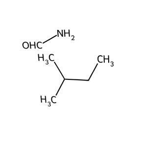 CCC(C)C.NC=O